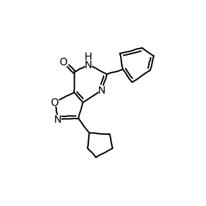 O=c1[nH]c(-c2ccccc2)nc2c(C3CCCC3)noc12